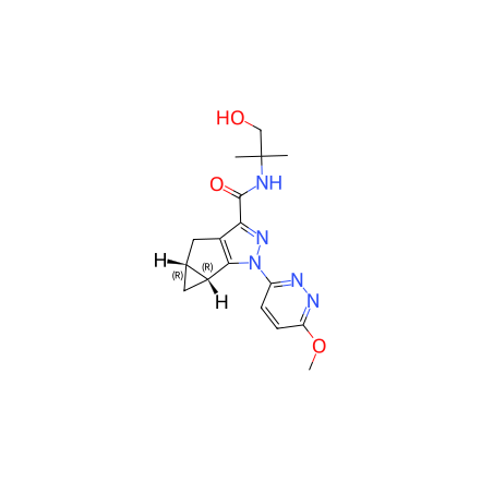 COc1ccc(-n2nc(C(=O)NC(C)(C)CO)c3c2[C@@H]2C[C@@H]2C3)nn1